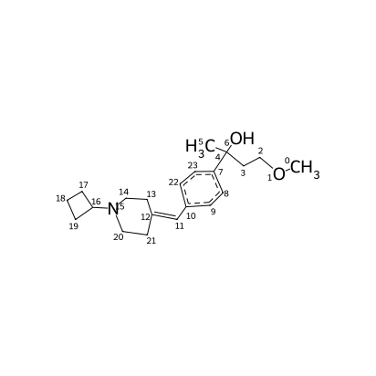 COCCC(C)(O)c1ccc(C=C2CCN(C3CCC3)CC2)cc1